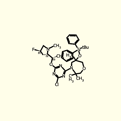 C[C@H](Oc1nc(Cl)nc(N2CC(C)(O[Si](c3ccccc3)(c3ccccc3)C(C)(C)C)COCC2(C)C)n1)[C@@H]1C[C@@H](F)CN1C